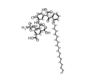 CCCCCCCCCCCCCCCCCCOc1ccccc1C(=O)C(C(=O)O)c1ccc(Cl)c(NC(=O)c2c(NS(N)(=O)=O)cc(C(=O)O)cc2C(=O)O)c1